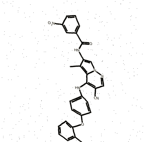 COc1ccccc1Oc1ccc(Nc2c(C#N)cnn3cc(NC(=O)c4cccc([N+](=O)[O-])c4)c(C)c23)cc1